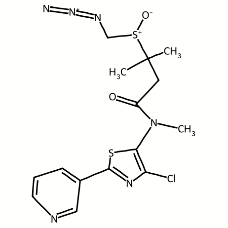 CN(C(=O)CC(C)(C)[S+]([O-])CN=[N+]=[N-])c1sc(-c2cccnc2)nc1Cl